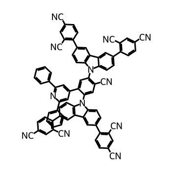 N#Cc1ccc(-c2ccc3c(c2)c2cc(-c4ccc(C#N)cc4C#N)ccc2n3-c2cc(-c3cc(-c4ccccc4)nc(-c4ccccc4)c3)c(-n3c4ccc(-c5ccc(C#N)cc5C#N)cc4c4cc(-c5ccc(C#N)cc5C#N)ccc43)cc2C#N)c(C#N)c1